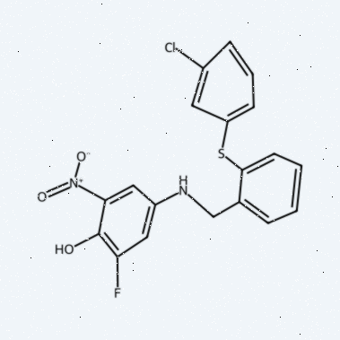 O=[N+]([O-])c1cc(NCc2ccccc2Sc2cccc(Cl)c2)cc(F)c1O